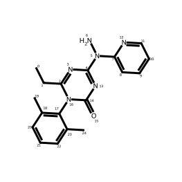 CCc1nc(N(N)c2ccccn2)nc(=O)n1-c1c(C)cccc1C